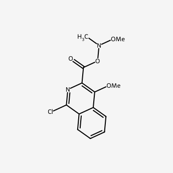 COc1c(C(=O)ON(C)OC)nc(Cl)c2ccccc12